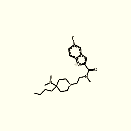 CCCCC1(N(C)C)CCN(CCN(C)C(=O)c2cc3cc(F)ccc3[nH]2)CC1